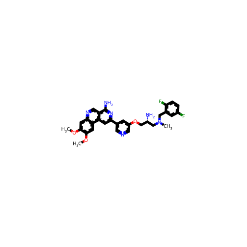 COc1cc2ncc3c(N)nc(-c4cncc(OC[C@H](N)CN(C)Cc5cc(F)ccc5F)c4)cc3c2cc1OC